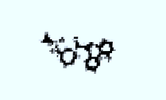 O=C(C1CC1c1ccccc1-c1c(F)cccc1F)N1CCCCC(N[S+]([O-])C2CC2)C1